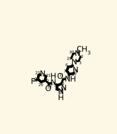 CN1CCN(c2ccc(NC(=O)c3n[nH]cc3NC(=O)c3cncc(F)c3)cn2)CC1